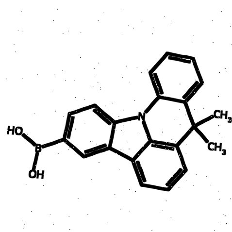 CC1(C)c2ccccc2-n2c3ccc(B(O)O)cc3c3cccc1c32